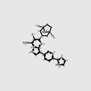 Nc1c(F)c([C@@H]2C[C@H]3CC[C@@H](C2)N3)nc2c(-c3ccc(-c4ncc[nH]4)nc3)cnn12